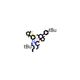 C=C/C=C\C(=C/N1/C(=C/C(C)=C\C)C(=C)B(C2=C(C)CC(c3ccc(C(C)(C)C)cc3)C3(C)CCCC23C)c2cc3c(cc21)C1(C)CCCC1(C)S3)C(C)(C)C